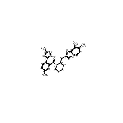 Cc1ccc(-c2nc(C)no2)c(C(=O)N2CCCCC2Cc2cn3ccc(C)c(C)c3n2)n1